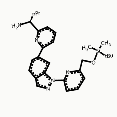 CCC[C@H](N)c1cccc(-c2ccc3cnn(-c4cccc(CO[Si](C)(C)C(C)(C)C)n4)c3c2)n1